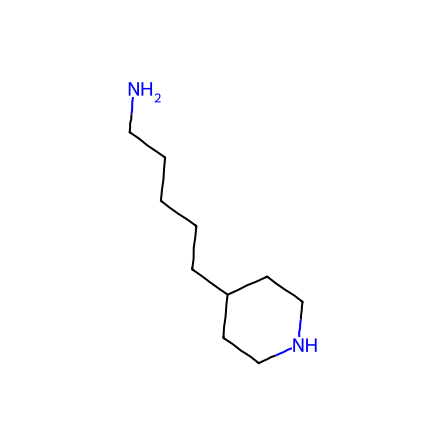 NCCCCCC1CCNCC1